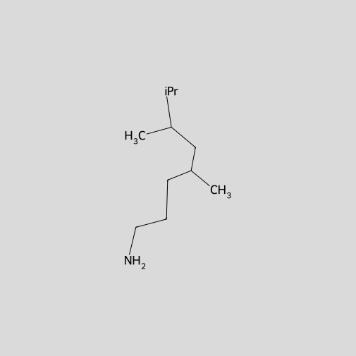 CC(CCCN)CC(C)C(C)C